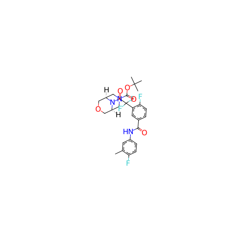 Cc1cc(NC(=O)c2ccc(F)c(C(F)(F)C(=O)N3[C@@H]4COC[C@H]3CN(C(=O)OC(C)(C)C)C4)c2)ccc1F